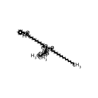 CCCCCCCCCCCCCCCCCC(=O)OC[C@H](COP(=O)([O-])OCC[N+](C)(C)C)OC(=O)CCCCCCCCCCCNC(=O)OCc1ccccc1